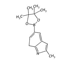 CC1=CC2=CC(B3OC(C)(C)C(C)(C)O3)=CCC2=N1